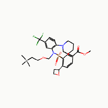 COC(=O)c1ccc(C2CCO2)c(S(=O)(=O)N(COCC[Si](C)(C)C)c2cc(C(F)(F)F)ccc2N2CCCCC2)c1